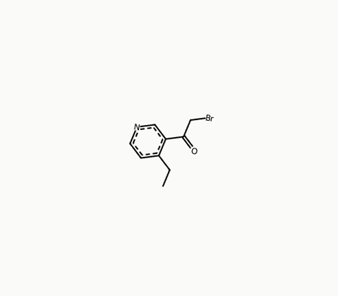 CCc1ccncc1C(=O)CBr